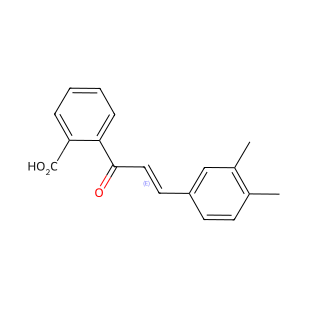 Cc1ccc(/C=C/C(=O)c2ccccc2C(=O)O)cc1C